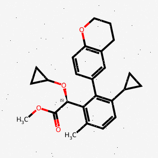 COC(=O)[C@@H](OC1CC1)c1c(C)ccc(C2CC2)c1-c1ccc2c(c1)CCCO2